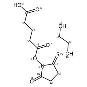 O=C(O)CCCC(=O)ON1C(=O)CCC1=S.OCCO